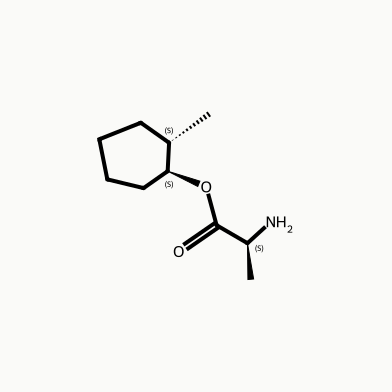 C[C@H](N)C(=O)O[C@H]1CCCC[C@@H]1C